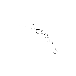 CC(=O)NC[C@H]1CN(c2ccc(-c3ccc(CNCCSc4nccs4)cc3)c(F)c2)C(=O)O1